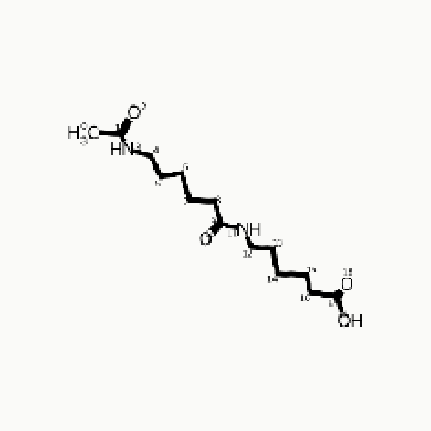 CC(=O)NCCCCCC(=O)NCCCCCC(=O)O